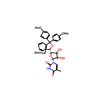 COCCC(OC(c1ccccc1)(c1ccc(OC)cc1)c1ccc(OC)cc1)[C@H]1O[C@@H](n2cc(C)c(=O)[nH]c2=O)[C@H](O)[C@@H]1O